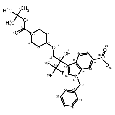 CC(C)(C)OC(=O)N1CCC(OCC(O)(c2cn(Cc3ccccc3)c3cc([N+](=O)[O-])ccc23)C(F)(F)F)CC1